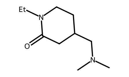 CCN1CCC(CN(C)C)CC1=O